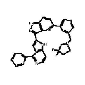 FC1(F)CCN(Cc2cncc(-c3ccc4[nH]nc(-c5cc6c(-c7cccnc7)nccc6[nH]5)c4n3)c2)C1